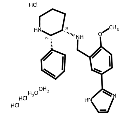 COc1ccc(-c2ncc[nH]2)cc1CN[C@H]1CCCN[C@H]1c1ccccc1.Cl.Cl.Cl.O.O